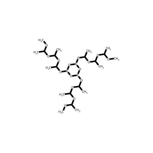 COC(C)OC(C)OC(C)OB1OB(OC(C)OC(C)OC(C)OC)OB(OC(C)OC(C)OC(C)OC)O1